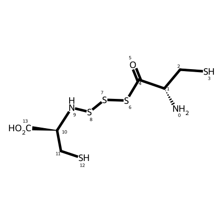 N[C@@H](CS)C(=O)SSSN[C@@H](CS)C(=O)O